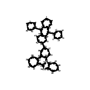 c1ccc(-c2c3ccccc3c(-c3ccccc3)c3cc(-c4ccc5c(c4)c4ccccc4c4nc6ccccc6n54)ccc23)cc1